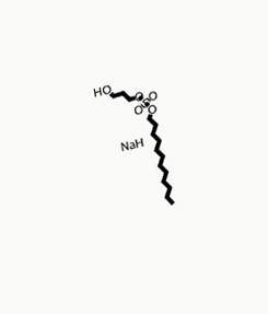 CCCCCCCCCCCCOS(=O)(=O)OCCCO.[NaH]